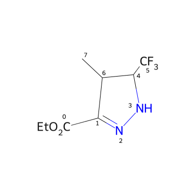 CCOC(=O)C1=NNC(C(F)(F)F)C1C